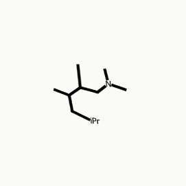 CC(C)CC(C)C(C)CN(C)C